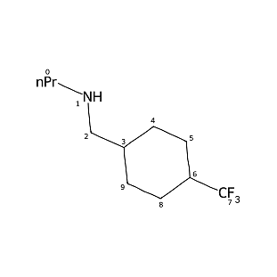 CCCNCC1CCC(C(F)(F)F)CC1